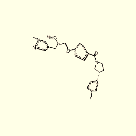 COC(COc1ccc(C(=O)N2CC[C@H](c3ccc(F)cc3)C2)cc1)Cc1cnn(C)c1